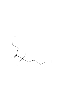 CCCCC(O)(O)C(=O)NCC